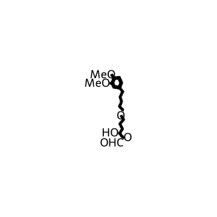 COc1ccc(CCCCCOCCCC(O)C(=O)C=O)cc1OC